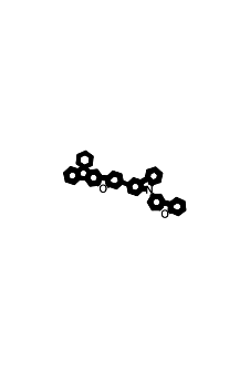 c1ccc2c(c1)-c1cc3oc4cc(-c5ccc6c(c5)c5ccccc5n6-c5ccc6oc7ccccc7c6c5)ccc4c3cc1C21CCCCC1